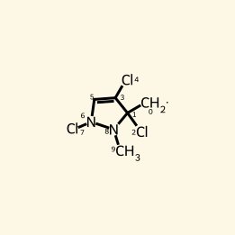 [CH2]C1(Cl)C(Cl)=CN(Cl)N1C